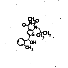 Cc1ccccc1C(O)c1cc2c(=O)n(C)c(=O)n(CC(C)C)c2s1